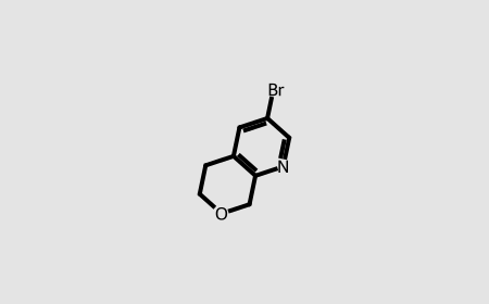 Brc1cnc2c(c1)CCOC2